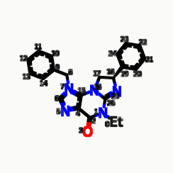 CCN1C(=O)c2ncn(Cc3ccccc3)c2N2C[C@@H](c3ccccc3)N=C12